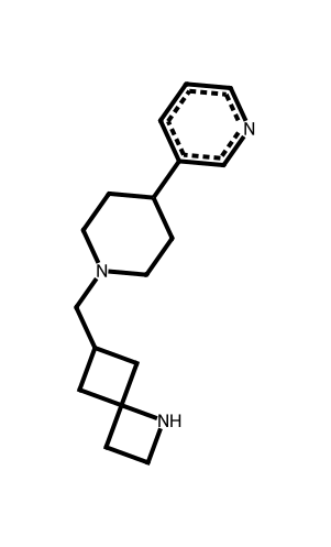 c1cncc(C2CCN(CC3CC4(CCN4)C3)CC2)c1